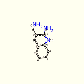 NCc1cc2ccccc2nc1N